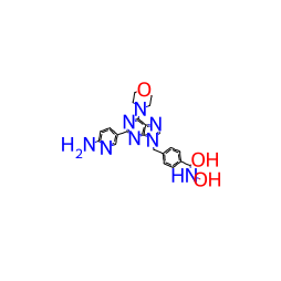 Nc1ccc(-c2nc(N3CCOCC3)c3ncn(Cc4ccc(C(O)NO)cc4)c3n2)cn1